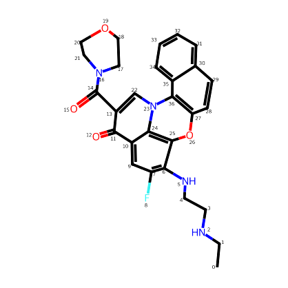 CCNCCNc1c(F)cc2c(=O)c(C(=O)N3CCOCC3)cn3c2c1Oc1ccc2ccccc2c1-3